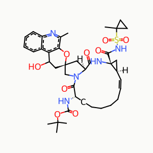 Cc1nc2ccccc2c2c1O[C@]1(CC2O)C[C@H]2C(=O)N[C@]3(C(=O)NS(=O)(=O)C4(C)CC4)C[C@H]3/C=C\CCCCC[C@H](NC(=O)OC(C)(C)C)C(=O)N2C1